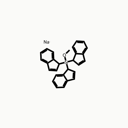 CO[Si](C1C=Cc2ccccc21)(C1C=Cc2ccccc21)C1C=Cc2ccccc21.[Na]